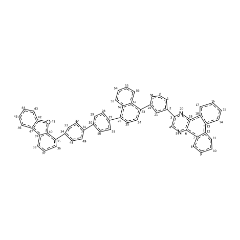 c1cc(-c2cnc3c4ccccc4c4ccccc4c3n2)cc(-c2ccc(-c3ccc(-c4ccc(-c5cccc6c5oc5ccccc56)cc4)cc3)c3ccccc23)c1